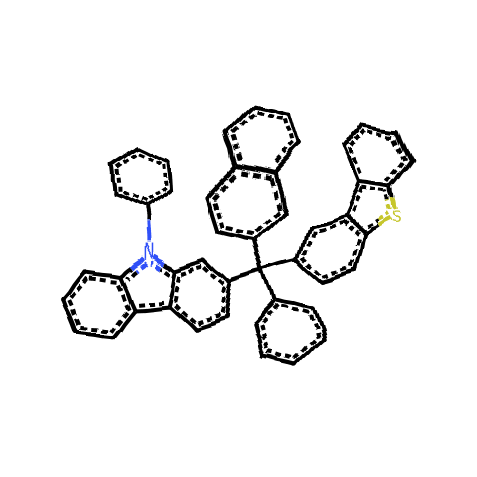 c1ccc(-n2c3ccccc3c3ccc(C(c4ccccc4)(c4ccc5ccccc5c4)c4ccc5sc6ccccc6c5c4)cc32)cc1